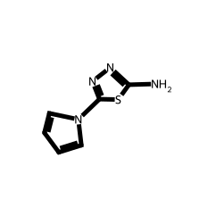 Nc1nnc(-n2cccc2)s1